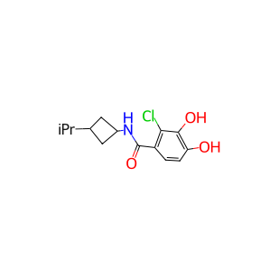 CC(C)C1CC(NC(=O)c2ccc(O)c(O)c2Cl)C1